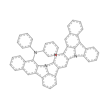 c1ccc(N(c2ccccc2)c2c3ccccc3cc3c4cccc5c6cc7c(nc6n(c23)c54)c2cc3ccccc3c3c4ccccc4n7c23)cc1